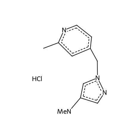 CNc1cnn(Cc2ccnc(C)c2)c1.Cl